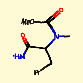 COC(=O)N(C)C(CC(C)C)C([NH])=O